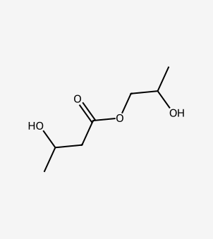 CC(O)COC(=O)CC(C)O